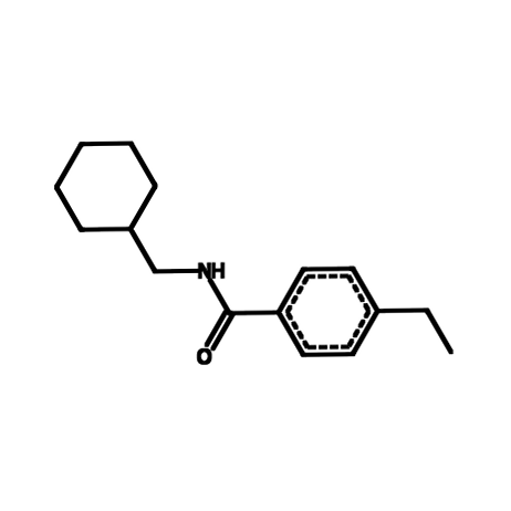 CCc1ccc(C(=O)NCC2CCCCC2)cc1